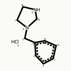 Cl.c1ccc(CN2CCNC2)cc1